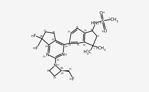 CC1(C)CC(NS(C)(=O)=O)c2ccc(-c3nc(N4CC[C@@H]4CF)nc4c3CCC4(F)F)cc21